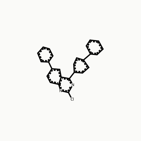 Clc1nc(-c2ccc(-c3ccccc3)cc2)c2cc(-c3ccccc3)ccc2n1